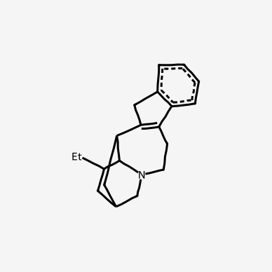 CCC1CC2CC3C4=C(CCN(C2)C13)c1ccccc1C4